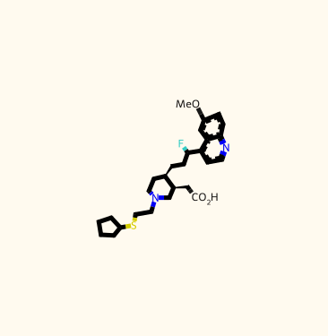 COc1ccc2nccc(C(F)CC[C@@H]3CCN(CCSC4CCCC4)C[C@@H]3CC(=O)O)c2c1